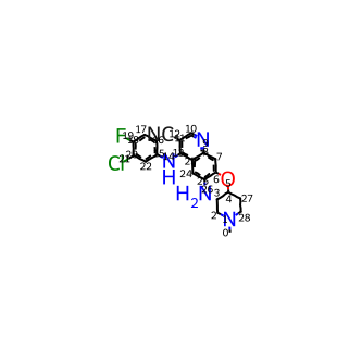 CN1CCC(Oc2cc3ncc(C#N)c(Nc4ccc(F)c(Cl)c4)c3cc2N)CC1